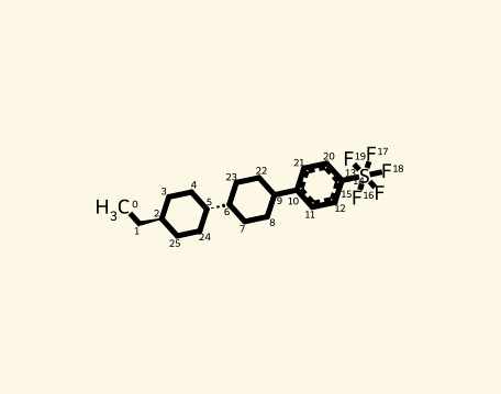 CC[C@H]1CC[C@H](C2CCC(c3ccc(S(F)(F)(F)(F)F)cc3)CC2)CC1